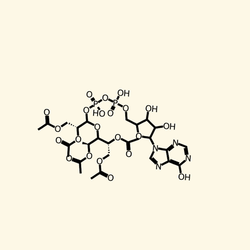 CC(=O)OC[C@@H](OC(C)=O)C(OC([C@H](C)OC(C)=O)[C@@H](COC(C)=O)OC(C)=O)OP(=O)(O)OP(=O)(O)OCC1OC(n2cnc3c(O)ncnc32)C(O)C1O